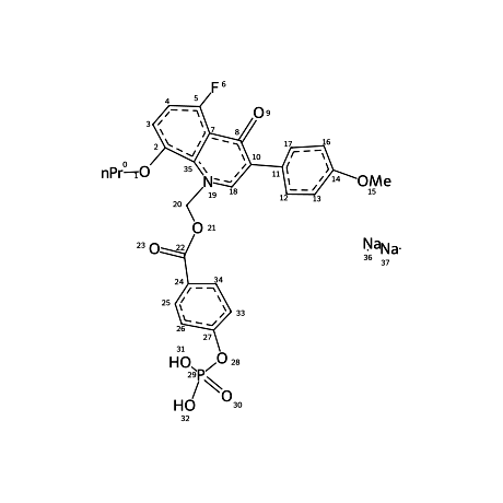 CCCOc1ccc(F)c2c(=O)c(-c3ccc(OC)cc3)cn(COC(=O)c3ccc(OP(=O)(O)O)cc3)c12.[Na].[Na]